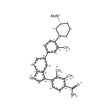 CN[C@@H]1CCCN(c2ccc(-c3cnc4[nH]cc(-c5ccc(C(N)=O)c(C)c5C)c4c3)cc2C)C1